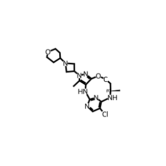 Cc1c2c(nn1C1CN(C3CCOCC3)C1)OCC[C@@H](C)Nc1nc(ncc1Cl)N2